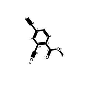 C#Cc1ccc(C(=O)OC)c(C#N)c1